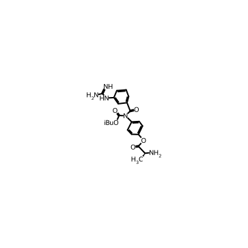 CC(C)COC(=O)N(C(=O)c1cccc(NC(=N)N)c1)c1ccc(OC(=O)[C@H](C)N)cc1